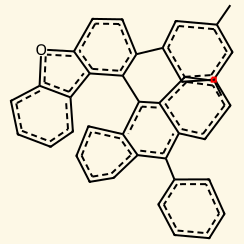 Cc1cc(C)cc(-c2ccc3oc4ccccc4c3c2-c2c3ccccc3c(-c3ccccc3)c3ccccc23)c1